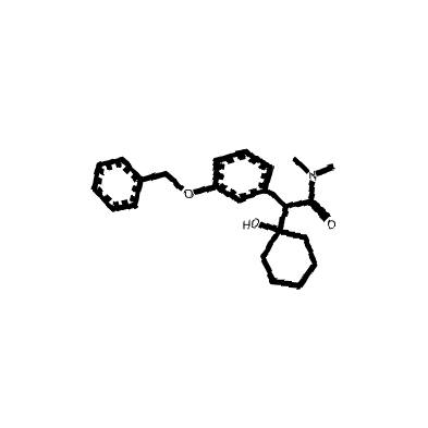 CN(C)C(=O)C(c1cccc(OCc2ccccc2)c1)C1(O)CCCCC1